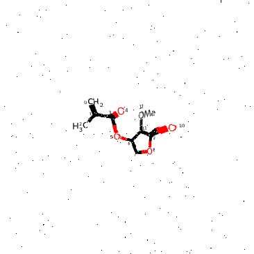 C=C(C)C(=O)OC1COC(=O)C1OC